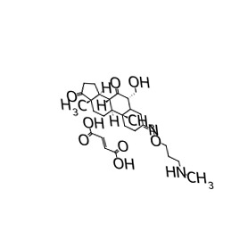 CNCCCON=C1CC[C@@]2(C)C(C1)[C@@H](CO)C(=O)[C@@H]1[C@@H]2CC[C@]2(C)C(=O)CC[C@@H]12.O=C(O)/C=C/C(=O)O